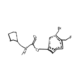 O=C(NC1CCC1)Oc1ccc(F)c(Br)c1